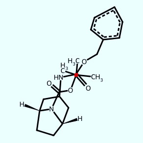 CC(C)(C)OC(=O)N1[C@@H]2CC[C@H]1CC(NC(=O)OCc1ccccc1)C2